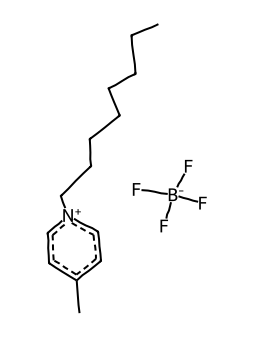 CCCCCCCC[n+]1ccc(C)cc1.F[B-](F)(F)F